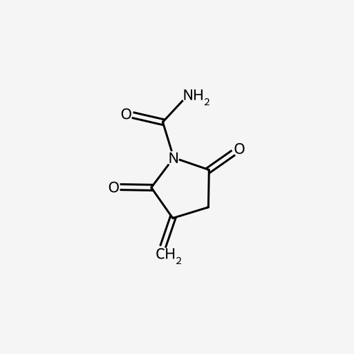 C=C1CC(=O)N(C(N)=O)C1=O